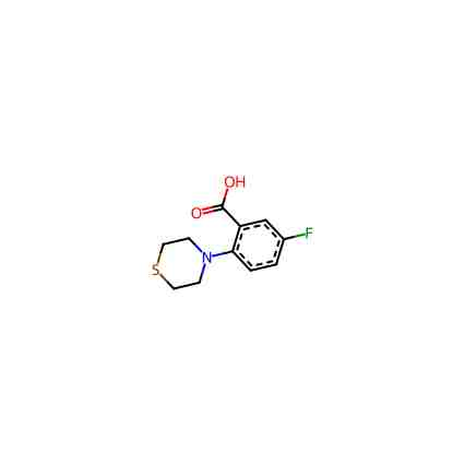 O=C(O)c1cc(F)ccc1N1CCSCC1